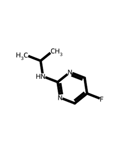 CC(C)Nc1ncc(F)cn1